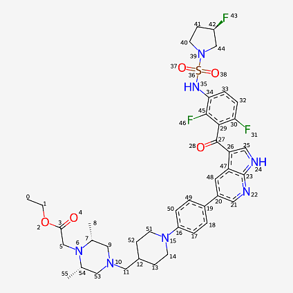 CCOC(=O)CN1[C@H](C)CN(CC2CCN(c3ccc(-c4cnc5[nH]cc(C(=O)c6c(F)ccc(NS(=O)(=O)N7CC[C@@H](F)C7)c6F)c5c4)cc3)CC2)C[C@@H]1C